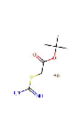 Br.CC(C)(C)OC(=O)CSC(=N)N